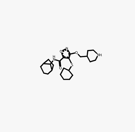 O=C(NC1C2CCCC1CC2)c1onc(OCC2CCNCC2)c1SC1CCCCC1